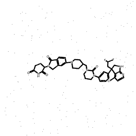 O=C1CCC(N2Cc3cc(N4CCC(CN5CCCN(c6cccc(C7(CC(F)F)CNc8nccc(Cl)c87)c6)C5=O)CC4)ccc3C2=O)C(=O)N1